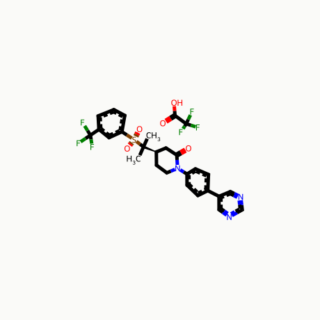 CC(C)([C@@H]1CCN(c2ccc(-c3cncnc3)cc2)C(=O)C1)S(=O)(=O)c1cccc(C(F)(F)F)c1.O=C(O)C(F)(F)F